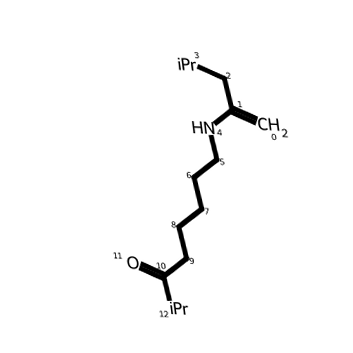 C=C(CC(C)C)NCCCCCC(=O)C(C)C